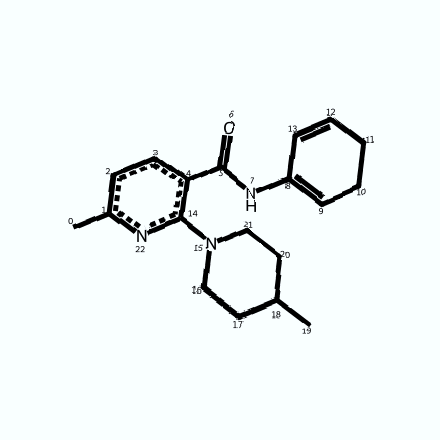 Cc1ccc(C(=O)NC2=CC[CH]C=C2)c(N2CCC(C)CC2)n1